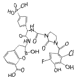 O=C(O)c1cccc2c1OB(O)C(NC(=O)[C@H](NC(=O)N1CCN(C(=O)c3cc(F)c(O)c(O)c3Cl)C1=O)c1ccc(P(=O)(O)O)cc1)C2